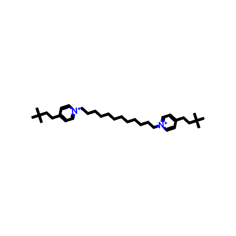 CC(C)(C)CCc1cc[n+](CCCCCCCCCCCC[n+]2ccc(CCC(C)(C)C)cc2)cc1